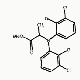 COC(=O)C(C)N(c1cccc(Cl)c1Cl)c1cccc(Cl)c1Cl